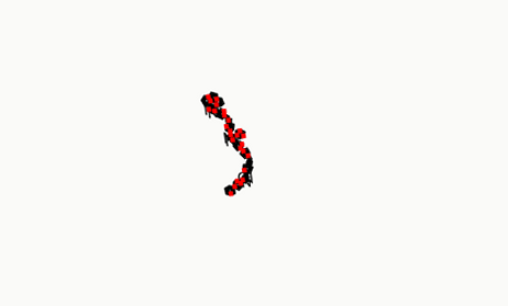 CC(C)(Cc1ccc(-c2ccc(-c3nnc(-c4ccc(C(C)(C)Cc5ccc(-c6nnc(-c7ccccc7)n6-c6cccc7ccccc67)cc5)cc4)n3-c3ccccc3)cc2)cc1)c1ccc(-c2nnc(-c3ccc(-c4ccccc4)cc3)o2)cc1